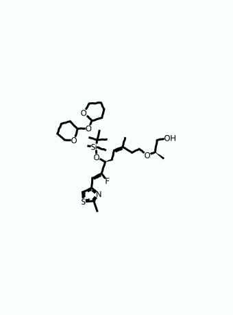 C1CCC(OC2CCCCO2)OC1.CC(=CC[C@H](O[Si](C)(C)C(C)(C)C)C(F)=Cc1csc(C)n1)CCO[C@H](C)CO